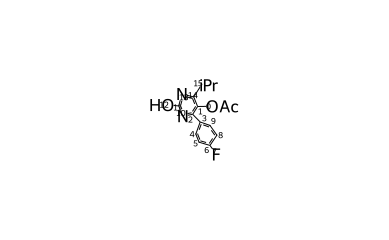 CC(=O)Oc1c(-c2ccc(F)cc2)nc(O)nc1C(C)C